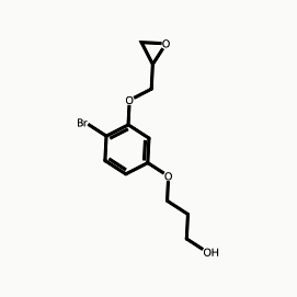 OCCCOc1ccc(Br)c(OCC2CO2)c1